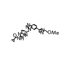 COCCn1cc(-c2ccc3nnn(Cc4ccc5nc(NC(=O)C6CC6)cn5n4)c3c2)cn1